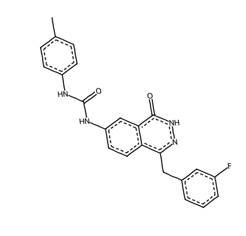 Cc1ccc(NC(=O)Nc2ccc3c(Cc4cccc(F)c4)n[nH]c(=O)c3c2)cc1